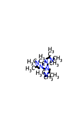 CC(CN1CN(CC(C)N(C)C)CN(CC(C)N(C)C)C1)N(C)C